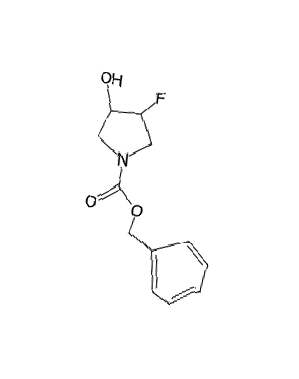 O=C(OCc1ccccc1)N1CC(O)C(F)C1